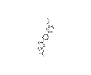 CC(C)=C[SiH2]OC(=O)c1ccc(C(=O)O[SiH2]C=C(C)C)cc1